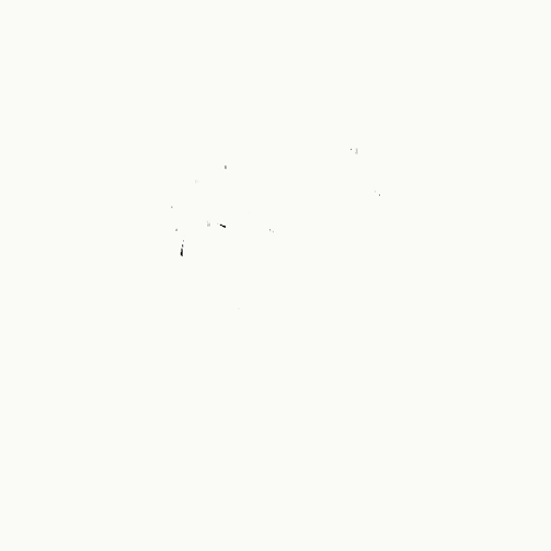 COc1ccc(C[C@H]2NC[C@H](O)[C@H]2OC(=O)NCCc2ccnc(N)c2)cc1